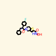 O=C(NO)c1cc2c(s1)CCN(C(=O)/C(=C\c1ccccc1)c1ccc(F)cc1)C2